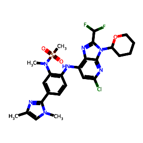 Cc1cn(C)c(-c2ccc(Nc3cc(Cl)nc4c3nc(C(F)F)n4C3CCCCO3)c(N(C)S(C)(=O)=O)c2)n1